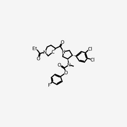 CCC(=O)N1CCC(C(=O)N2C[C@H](c3ccc(Cl)c(Cl)c3)[C@@H](N(C)C(=O)Oc3ccc(F)cc3)C2)CC1